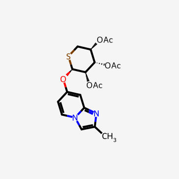 CC(=O)O[C@@H]1[C@@H](OC(C)=O)[C@@H](Oc2ccn3cc(C)nc3c2)SC[C@H]1OC(C)=O